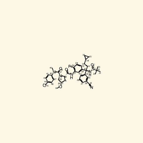 CO[C@@H]1C[C@@H](C(=O)Nc2cc(C(CCC3CC3)(N[S@+]([O-])C(C)(C)C)c3cccc(C#N)c3)ccc2F)N(C(=O)N(C)c2ccc(Cl)cc2)C1